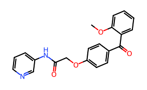 COc1ccccc1C(=O)c1ccc(OCC(=O)Nc2cccnc2)cc1